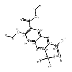 CCOC(=O)c1nc2cc([N+](=O)[O-])c(C(F)(F)F)cc2nc1OCC